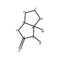 CC1C(=O)CC2CCCC21C